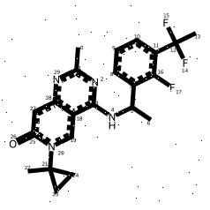 Cc1nc(NC(C)c2cccc(C(C)(F)F)c2F)c2cn(C3(C)CC3)c(=O)cc2n1